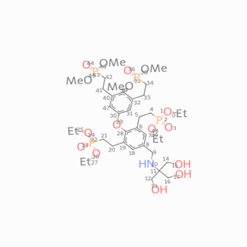 CCOP(=O)(CCc1cc(CNC(CO)(CO)CO)cc(CCP(=O)(OCC)OCC)c1Oc1cc(CCP(=O)(OC)OC)cc(CCP(=O)(OC)OC)c1)OCC